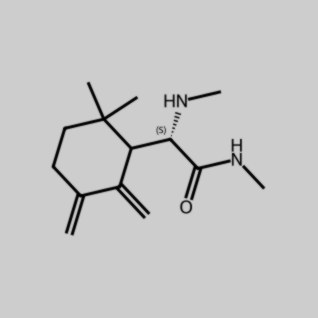 C=C1CCC(C)(C)C([C@H](NC)C(=O)NC)C1=C